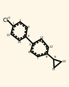 Clc1ccc(-c2ccc(C3CC3)cc2)cc1